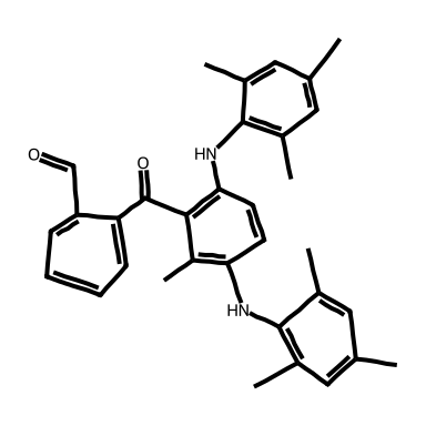 Cc1cc(C)c(Nc2ccc(Nc3c(C)cc(C)cc3C)c(C(=O)c3ccccc3C=O)c2C)c(C)c1